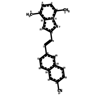 Cc1ncc(C)n2nc(C=Cc3ccc4cc(C#N)ccc4n3)nc12